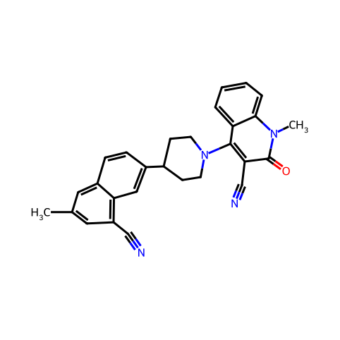 Cc1cc(C#N)c2cc(C3CCN(c4c(C#N)c(=O)n(C)c5ccccc45)CC3)ccc2c1